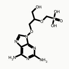 Nc1nc(N)c2ncn(OCC(CO)OCP(=O)(O)O)c2n1